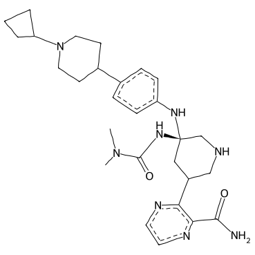 CN(C)C(=O)N[C@@]1(Nc2ccc(C3CCN(C4CCC4)CC3)cc2)CNCC(c2nccnc2C(N)=O)C1